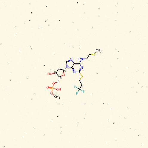 COP(=O)(O)OC[C@H]1O[C@@H](n2cnc3c(NCCSC)nc(SCCC(F)(F)F)nc32)C[C@@H]1O